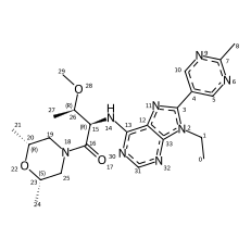 CCn1c(-c2cnc(C)nc2)nc2c(N[C@@H](C(=O)N3C[C@@H](C)O[C@@H](C)C3)[C@@H](C)OC)ncnc21